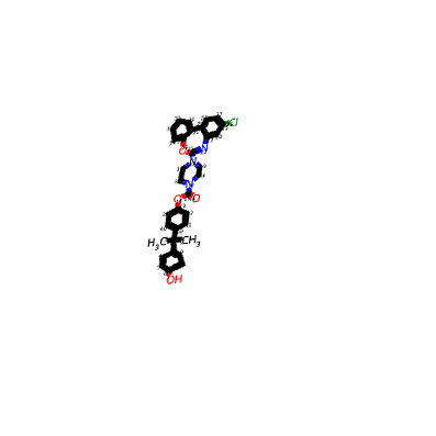 CC(C)(c1ccc(O)cc1)c1ccc(OC(=O)N2CCN(C3=Nc4cc(Cl)ccc4-c4ccccc4O3)CC2)cc1